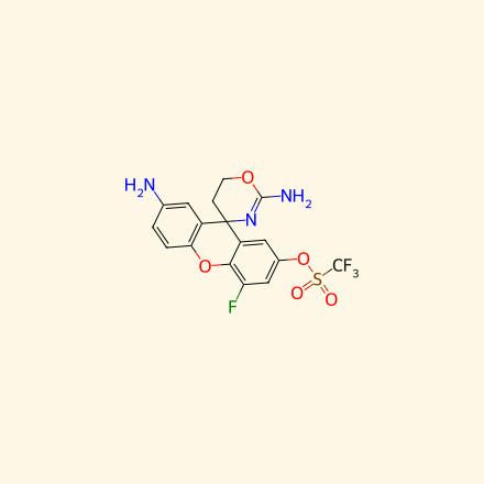 NC1=NC2(CCO1)c1cc(N)ccc1Oc1c(F)cc(OS(=O)(=O)C(F)(F)F)cc12